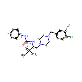 CC(C)(C)C(CN1CCN(Cc2ccc(Cl)c(Cl)c2)CC1)NC(=O)Nc1ccccc1